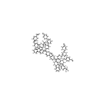 C=Cc1ccc(OC2C=CC(C3(c4ccc(C(C)(C)C)cc4)c4ccccc4C4CCC(N(C5=CCC(C6=CC(C7C=CC(F)=CC7)CC=C6)C=C5)c5ccc6c(c5)SC5CC(N(C7=CC=C(c8cccc(C9C=CC(F)=CC9)c8)CC7)c7ccc8c(c7)C(C7=CC=C(C(C)(C)C)CC7)(C7C=CC(OC9=CCC(C=C)C=C9)=CC7)c7ccccc7-8)C=CC65)=CC43)=CC2)cc1